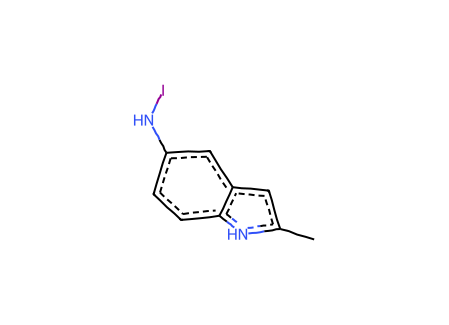 Cc1cc2cc(NI)ccc2[nH]1